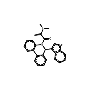 CN(C)C(=O)C(=O)N1c2ccccc2-c2ccccc2C1c1c[nH]c2ccccc12